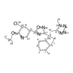 Cc1cccc2c1CC[C@]2(Cc1nnnn1C)c1noc(-c2cnc(OC(C)C)c(Cl)c2)n1